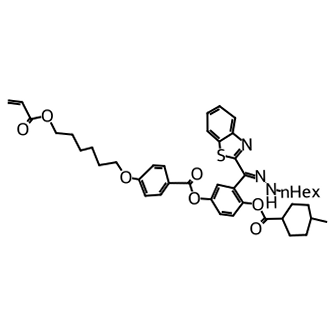 C=CC(=O)OCCCCCCOc1ccc(C(=O)Oc2ccc(OC(=O)C3CCC(C)CC3)c(C(=NNCCCCCC)c3nc4ccccc4s3)c2)cc1